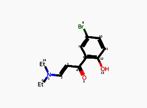 CCN(C=CC(=O)c1cc(Br)ccc1O)CC